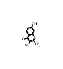 N#Cc1c(C(F)(F)F)oc2cc(O)ccc2c1=O